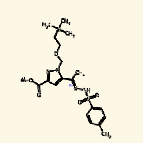 COC(=O)c1cc(/C(C)=N/NS(=O)(=O)c2ccc(C)cc2)n(COCC[Si](C)(C)C)n1